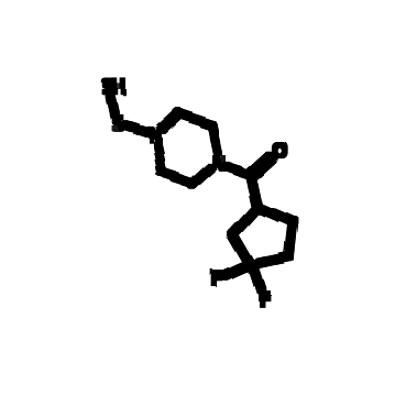 O=C(C1CCC(F)(F)C1)N1CCN(SS)CC1